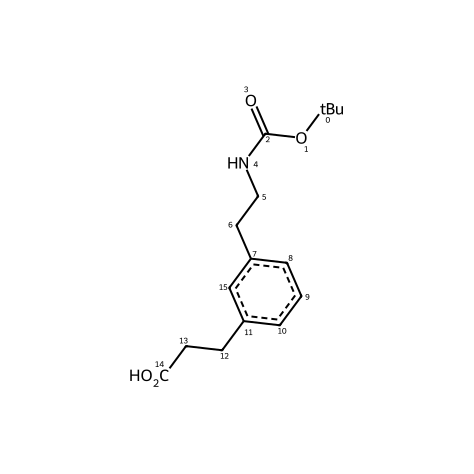 CC(C)(C)OC(=O)NCCc1cccc(CCC(=O)O)c1